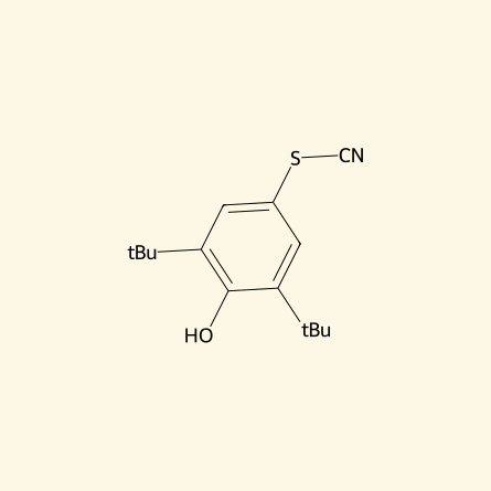 CC(C)(C)c1cc(SC#N)cc(C(C)(C)C)c1O